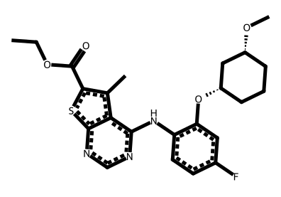 CCOC(=O)c1sc2ncnc(Nc3ccc(F)cc3O[C@H]3CCC[C@@H](OC)C3)c2c1C